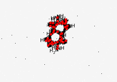 N=C(N)NCCC[C@@H]1NC(=O)[C@@H](Cc2ccccc2)NC(=O)[C@H](Cc2c[nH]cn2)NC(=O)CCNC(=O)[C@@H]2CSSC[C@H](NC(=O)[C@H](Cc3c[nH]c4ccccc34)NC1=O)C(=O)NCCC(=O)N[C@@H](Cc1c[nH]cn1)C(=O)N[C@H](Cc1ccccc1)C(=O)N[C@H](CCCNC(=N)N)C(=O)N[C@@H](Cc1c[nH]c3ccccc13)C(=O)N2